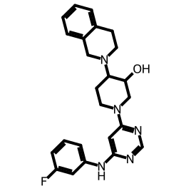 OC1CN(c2cc(Nc3cccc(F)c3)ncn2)CCC1N1CCc2ccccc2C1